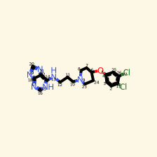 Clc1ccc(OC2CCN(CCCNc3[nH]cnc4ncnc3-4)CC2)cc1Cl